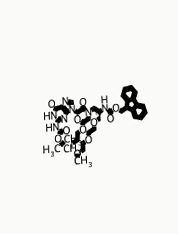 COCCOCCOC[C@@H](CN(CC(=O)OCCI)C(=O)Cn1cnc2c(=O)[nH]c(NC(=O)OC(C)(C)C)nc21)NC(=O)OCC1c2ccccc2-c2ccccc21